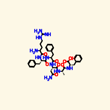 C[C@H](NC(=O)[C@H](CC(N)=O)NC(=O)[C@H](Cc1ccccc1)NC(=O)[C@H](Cc1ccccc1)NC(=O)[C@@H](N)CCCNC(=N)N)C(=O)N[C@@H](Cc1ccccc1)C(=O)O